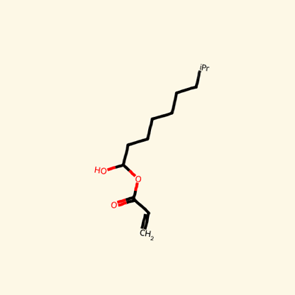 C=CC(=O)OC(O)CCCCCCC(C)C